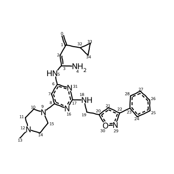 C=C(/C=C(\N)Nc1cc(N2CCN(C)CC2)nc(NCc2cc(-c3ccccc3)no2)n1)C1CC1